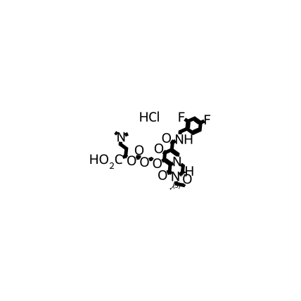 C[C@H]1CO[C@@H]2Cn3cc(C(=O)NCc4ccc(F)cc4F)c(=O)c(OCOC(=O)OC(CCN(C)C)C(=O)O)c3C(=O)N12.Cl